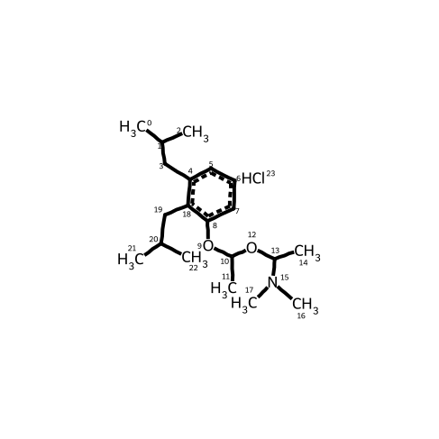 CC(C)Cc1cccc(OC(C)OC(C)N(C)C)c1CC(C)C.Cl